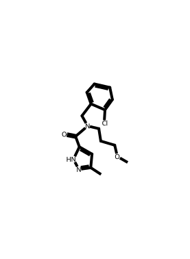 COCCCN(Cc1ccccc1Cl)C(=O)c1cc(C)n[nH]1